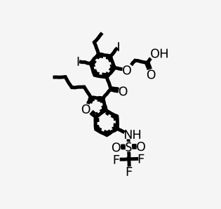 CCCCc1oc2ccc(NS(=O)(=O)C(F)(F)F)cc2c1C(=O)c1cc(I)c(CC)c(I)c1OCC(=O)O